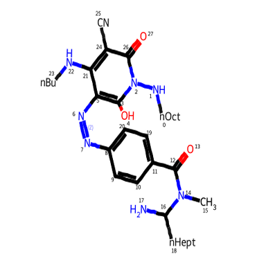 CCCCCCCCNn1c(O)c(/N=N\c2ccc(C(=O)N(C)C(N)CCCCCCC)cc2)c(NCCCC)c(C#N)c1=O